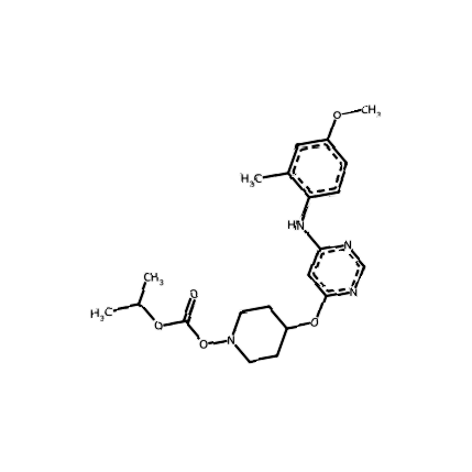 COc1ccc(Nc2cc(OC3CCN(OC(=O)OC(C)C)CC3)ncn2)c(C)c1